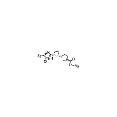 CCc1cnc([C@H]2CCN(C3CCN(C(=O)OC(C)(C)C)CC3)C2)[nH]c1=O